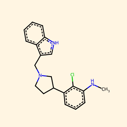 CNc1cccc(C2CCN(Cc3c[nH]c4ccccc34)C2)c1Cl